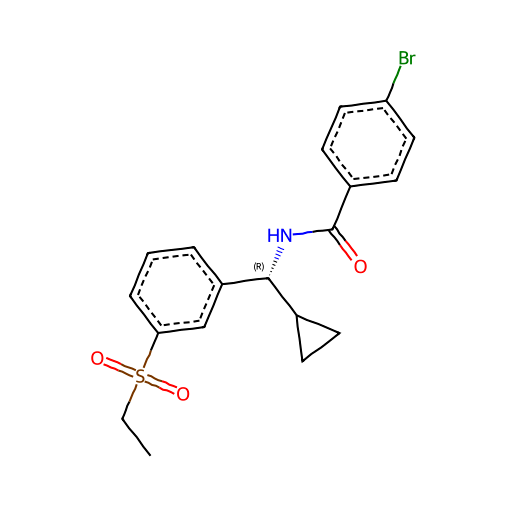 CCS(=O)(=O)c1cccc([C@H](NC(=O)c2ccc(Br)cc2)C2CC2)c1